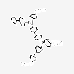 COc1ccc(-c2ccc(N(c3ccc(OC)cc3)c3ccc(-c4ccc(N(c5ccc(OC)cc5)c5ccc(-c6ccccc6)cc5)cc4)cc3)cc2)cc1